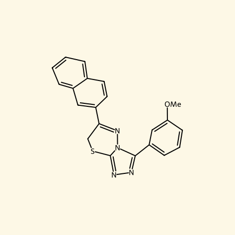 COc1cccc(-c2nnc3n2N=C(c2ccc4ccccc4c2)CS3)c1